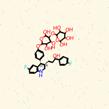 OC1OC(OC2C(O)OC(Oc3ccc([C@H]4c5cc(F)ccc5NC[C@@H]4CC[C@H](O)c4ccc(F)cc4)cc3)C(O)C2O)C(O)C(O)C1O